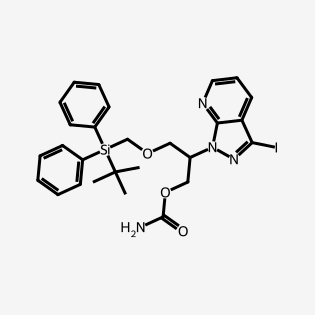 CC(C)(C)[Si](COCC(COC(N)=O)n1nc(I)c2cccnc21)(c1ccccc1)c1ccccc1